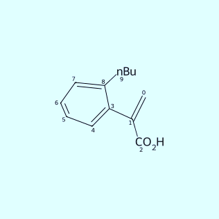 C=C(C(=O)O)c1ccccc1CCCC